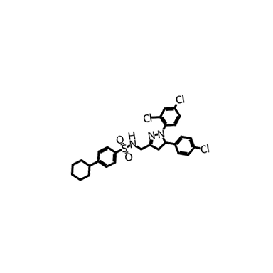 O=S(=O)(NCC1=NN(c2ccc(Cl)cc2Cl)C(c2ccc(Cl)cc2)C1)c1ccc(C2CCCCC2)cc1